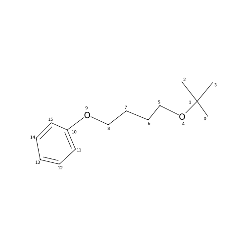 CC(C)(C)OCCCCOc1ccccc1